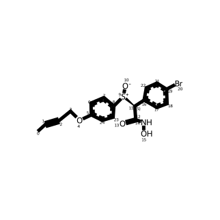 CC#CCOc1ccc([S+]([O-])[C@H](C(=O)NO)c2ccc(Br)cc2)cc1